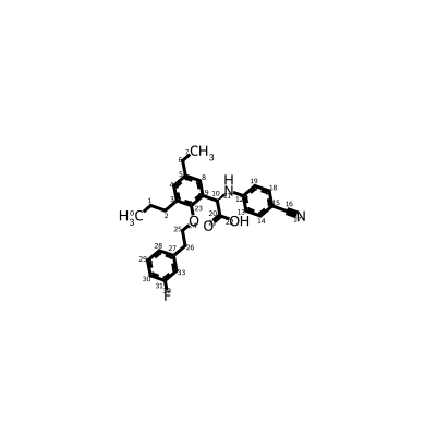 CCCc1cc(CC)cc([C@@H](Nc2ccc(C#N)cc2)C(=O)O)c1OCCc1cccc(F)c1